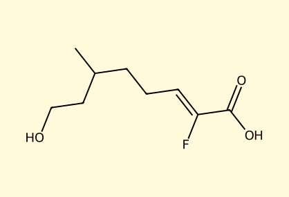 CC(CCO)CC/C=C(\F)C(=O)O